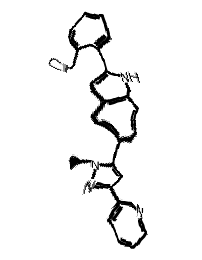 Cn1nc(-c2ccccn2)cc1-c1ccc2[nH]c(-c3ccccc3Cl)cc2c1